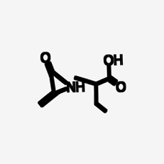 C=C1NC1=O.CCC(C)C(=O)O